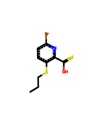 CCCSc1ccc(Br)nc1C(O)=S